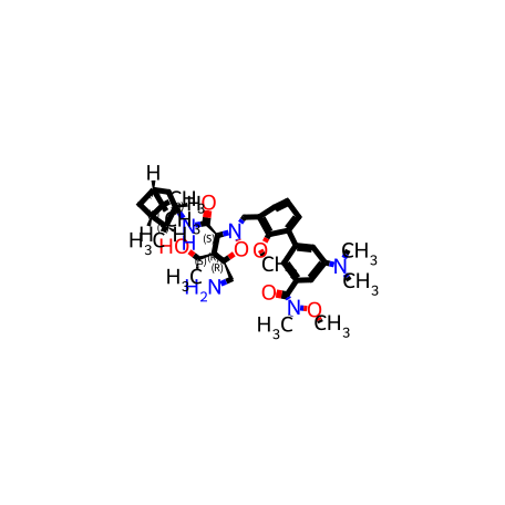 COc1c(CN2O[C@@H](CN)[C@@H]([C@H](C)O)[C@H]2C(=O)N[C@H]2C[C@H]3C[C@@H]([C@@H]2C)C3(C)C)cccc1-c1cc(C(=O)N(C)OC)cc(N(C)C)c1